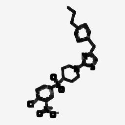 CCCc1ccc(Cc2csc(N3CCC(S(=O)(=O)c4ccc(Cl)c([N+](=O)[O-])c4)CC3)n2)cc1